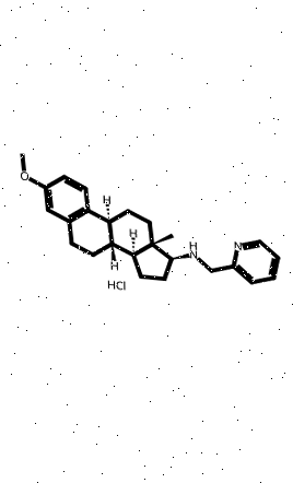 COc1ccc2c(c1)CC[C@@H]1[C@@H]2CC[C@]2(C)[C@@H](NCc3ccccn3)CC[C@@H]12.Cl